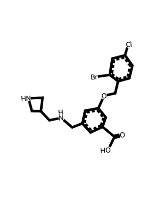 O=C(O)c1cc(CNCC2CNC2)cc(OCc2ccc(Cl)cc2Br)c1